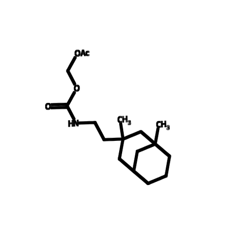 CC(=O)OCOC(=O)NCCC1(C)CC2CCCC(C)(C2)C1